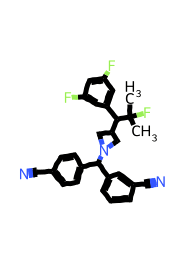 CC(C)(F)C(c1cc(F)cc(F)c1)C1CN(C(c2ccc(C#N)cc2)c2cccc(C#N)c2)C1